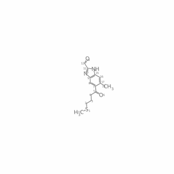 CSCCCC(=O)c1cc2nc(C=O)[nH]c2cc1C